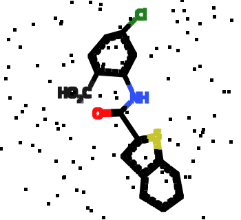 O=C(Nc1cc(Cl)ccc1C(=O)O)c1cc2ccccc2s1